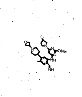 COc1nc(Nc2cc(C3CCN(C4COC4)CC3)c(C)cc2C=N)cc(N2CCC(=O)C2)n1